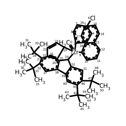 [CH2]=[Zr]([c]1ccc(Cl)cc1)([c]1cccc2ccccc12)([CH]1C=CC=C1)[CH]1c2cc(C(C)(C)C)c(C(C)(C)C)cc2-c2cc(C(C)(C)C)c(C(C)(C)C)cc21